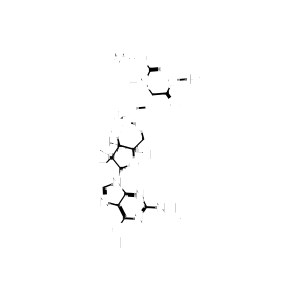 CCOc1nc(N)nc2c1ncn2[C@@H]1O[C@@H]2COP(=O)(OC[C@H](NC(=O)OC)C(=O)OC(C)C)O[C@H]2[C@@]1(C)F